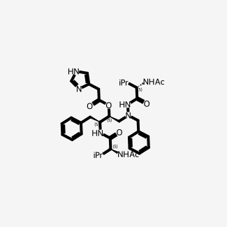 CC(=O)N[C@H](C(=O)N[C@@H](Cc1ccccc1)[C@H](CN(Cc1ccccc1)NC(=O)[C@@H](NC(C)=O)C(C)C)OC(=O)Cc1c[nH]cn1)C(C)C